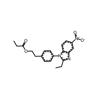 CCC(=O)OCCc1ccc(-n2c(CC)nc3cc([N+](=O)[O-])ccc32)cc1